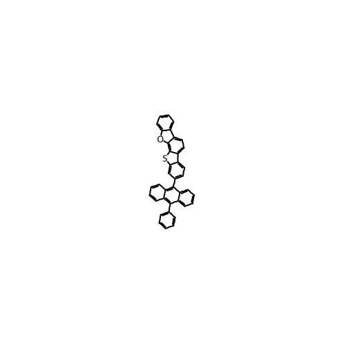 c1ccc(-c2c3ccccc3c(-c3ccc4c(c3)sc3c4ccc4c5ccccc5oc43)c3ccccc23)cc1